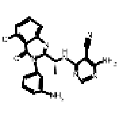 C[C@H](Nc1ncnc(N)c1C#N)c1nc2cccc(Cl)c2c(=O)n1-c1cccc(N)c1